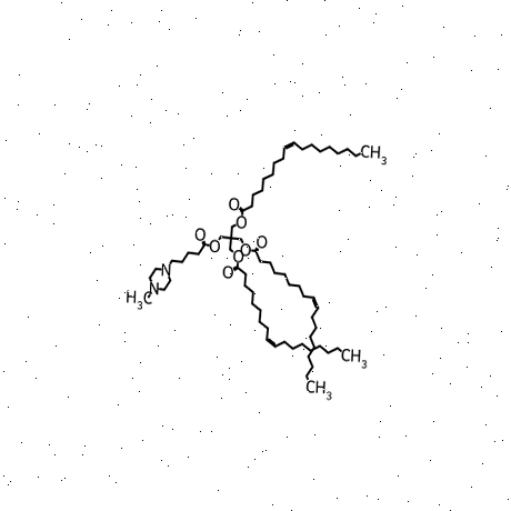 CCCCCCCC/C=C\CCCCCCCC(=O)OCC(COC(=O)CCCCCCC/C=C\CCCCCCCC)(COC(=O)CCCCCCC/C=C\CCCCCCCC)COC(=O)CCCCN1CCN(C)CC1